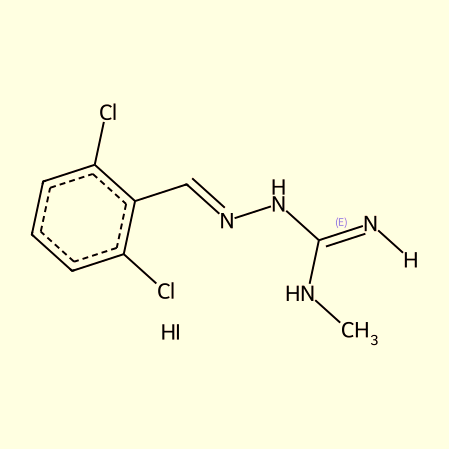 I.[H]/N=C(\NC)NN=Cc1c(Cl)cccc1Cl